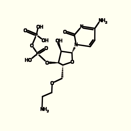 NCCOC[C@H]1O[C@@H](n2ccc(N)nc2=O)[C@H](O)[C@@H]1OP(=O)(O)OP(=O)(O)O